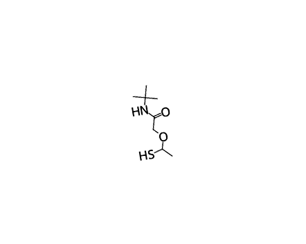 CC(S)OCC(=O)NC(C)(C)C